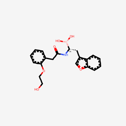 O=C(Cc1ccccc1OCCO)N[C@@H](Cc1coc2ccccc12)B(O)O